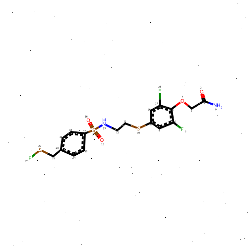 NC(=O)COc1c(F)cc(SCCNS(=O)(=O)c2ccc(CSF)cc2)cc1F